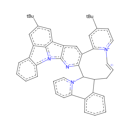 CC(C)(C)c1cc[n+]2c(c1)-c1cc3c4cc(C(C)(C)C)cc5c6ccccc6n(c3nc1C1C(C/C=C/2)c2ccccc2-c2cccc[n+]21)c54